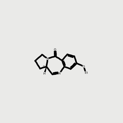 CCOc1ccc2c(c1)N=C[C@@H]1CCCN1C2=O